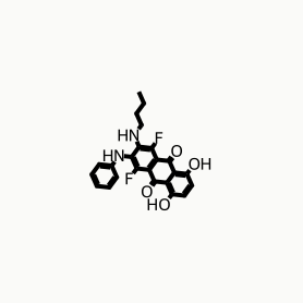 CCCCNc1c(F)c2c(c(F)c1Nc1ccccc1)C(=O)c1c(O)ccc(O)c1C2=O